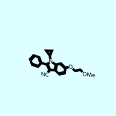 COCCOc1ccc2c(C#N)c(-c3cc[c]cc3)n(C3CC3)c2c1